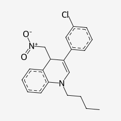 CCCCN1C=C(c2cccc(Cl)c2)C(C[N+](=O)[O-])c2ccccc21